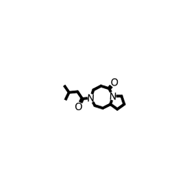 CC(C)CC(=O)N1CCC(=O)N2CCCC2CC1